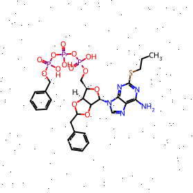 CCCSc1nc(N)c2ncn([C@@H]3O[C@H](COP(=O)(O)OP(=O)(O)OP(=O)(O)OCc4ccccc4)[C@@H]4OC(Cc5ccccc5)OC43)c2n1